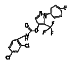 O=C(NCc1ccc(Cl)cc1Cl)Oc1cnn(-c2ccc(F)cc2)c1C(F)(F)F